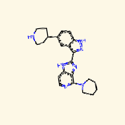 c1cc2[nH]c(-c3n[nH]c4ccc(C5CCNCC5)cc34)nc2c(N2CCCCC2)n1